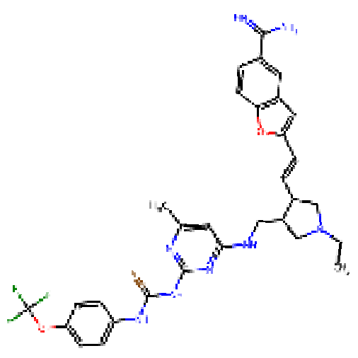 CCN1CC(/C=C/c2cc3cc(C(=N)N)ccc3o2)C(CNc2cc(C)nc(NC(=S)Nc3ccc(OC(F)(F)F)cc3)n2)C1